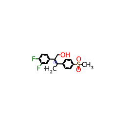 [CH2]/C(=C(/CO)c1ccc(F)c(F)c1)c1ccc(S(C)(=O)=O)cc1